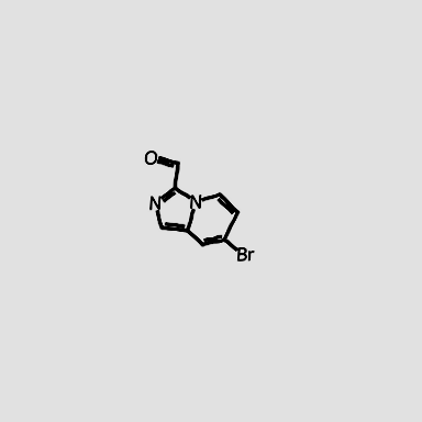 O=Cc1ncc2cc(Br)ccn12